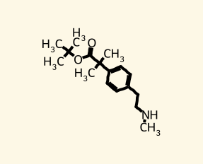 CNCCc1ccc(C(C)(C)C(=O)OC(C)(C)C)cc1